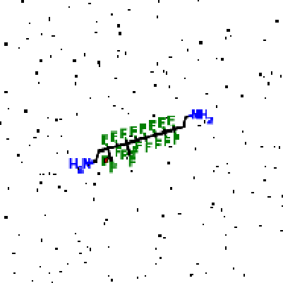 NCCC(F)(F)C(F)(F)C(F)(F)C(F)(F)C(F)(F)C(F)(C(F)(F)F)C(F)(F)C(F)(CCN)C(F)(F)F